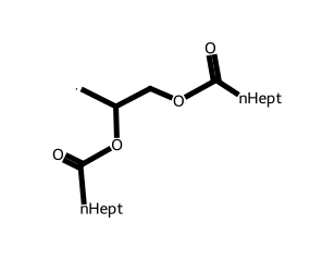 [CH2]C(COC(=O)CCCCCCC)OC(=O)CCCCCCC